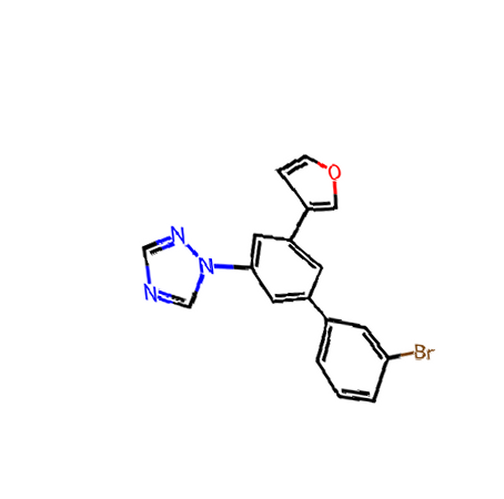 Brc1cccc(-c2cc(-c3ccoc3)cc(-n3cncn3)c2)c1